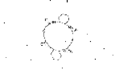 O=C1CSCC(=O)NC2CCCCC2NC(=O)CSCC(=O)NC2CCCCC2N1